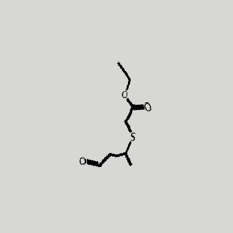 CCOC(=O)CSC(C)CC=O